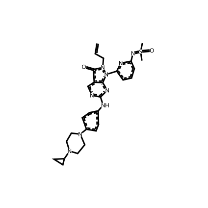 C=CCn1c(=O)c2cnc(Nc3ccc(N4CCN(C5CC5)CC4)cc3)nc2n1-c1cccc(N=S(C)(C)=O)n1